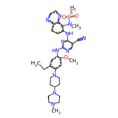 CCc1cc(Nc2ncc(C#N)c(Nc3ccc4nccnc4c3N(C)S(C)(=O)=O)n2)c(OC)cc1N1CCC(N2CCN(C)CC2)CC1